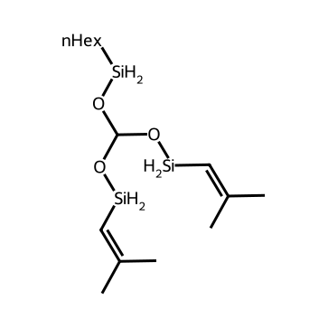 CCCCCC[SiH2]OC(O[SiH2]C=C(C)C)O[SiH2]C=C(C)C